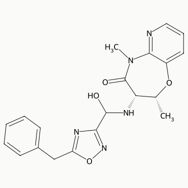 C[C@H]1Oc2cccnc2N(C)C(=O)[C@H]1NC(O)c1noc(Cc2ccccc2)n1